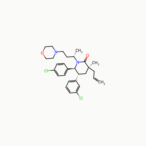 C=CC[C@@]1(C)C[C@H](c2cccc(Cl)c2)[C@@H](c2ccc(Cl)cc2)N([C@@H](C)CCN2CCOCC2)C1=O